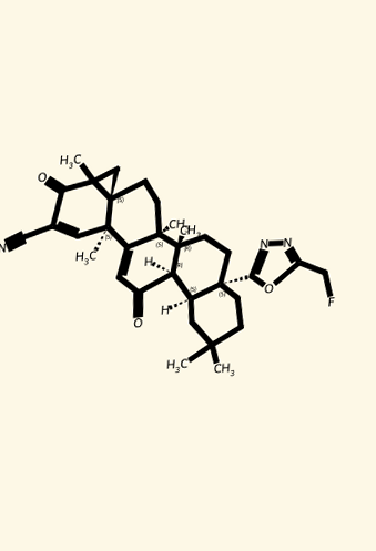 CC1(C)CC[C@]2(c3nnc(CF)o3)CC[C@]3(C)[C@H](C(=O)C=C4[C@@]5(C)C=C(C#N)C(=O)C6(C)C[C@]65CC[C@]43C)[C@@H]2C1